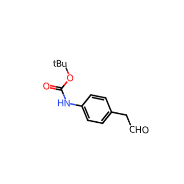 CC(C)(C)OC(=O)Nc1ccc(CC=O)cc1